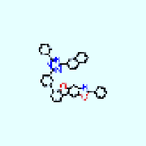 c1ccc(-c2nc(-c3cccc(-c4cccc5c4oc4cc6nc(-c7ccccc7)oc6cc45)c3)nc(-c3ccc4ccccc4c3)n2)cc1